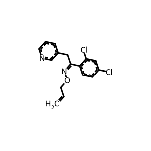 C=CCON=C(Cc1cccnc1)c1ccc(Cl)cc1Cl